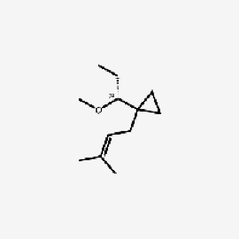 CC[C@@H](OC)C1(CC=C(C)C)CC1